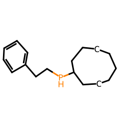 c1ccc(CCPC2CCCCCCCC2)cc1